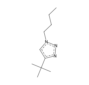 CCCCn1cc(C(C)(C)C)nn1